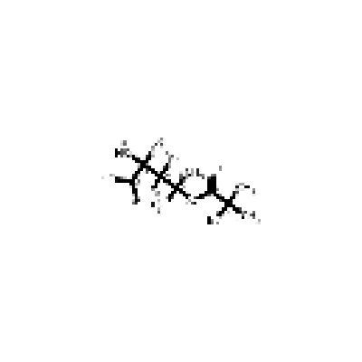 CCC(C)(C)C(=O)OC(C)(C(F)(F)F)C(F)(F)C(O)(C(F)F)C(F)(F)F